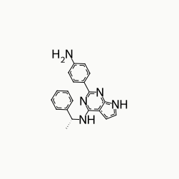 C[C@@H](Nc1nc(-c2ccc(N)cc2)nc2[nH]ccc12)c1ccccc1